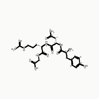 N=C(N)NCCC[C@H](NC(=O)[C@H](CC(N)=O)NC(=O)[C@@H](N)Cc1ccc(O)cc1)C(=O)NCC(=O)O